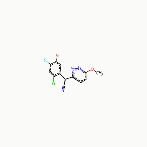 COc1ccc(C(C#N)c2cc(Br)c(F)cc2Cl)nn1